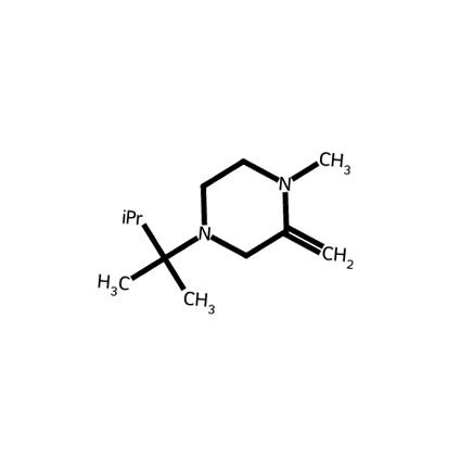 C=C1CN(C(C)(C)C(C)C)CCN1C